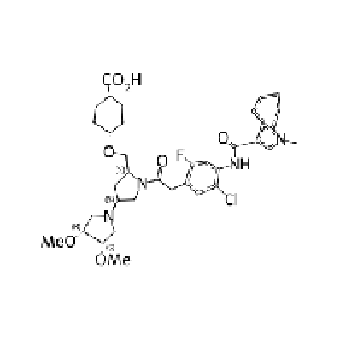 CO[C@H]1CN([C@H]2C[C@@H](CO[C@H]3CC[C@H](C(=O)O)CC3)N(C(=O)Cc3cc(Cl)c(NC(=O)c4cn(C)c5ccccc45)cc3F)C2)C[C@H]1OC